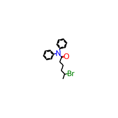 CC(Br)CCCC(=O)N(c1ccccc1)c1ccccc1